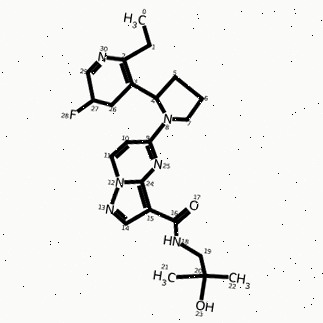 CCC1=C(C2CCCN2c2ccn3ncc(C(=O)NCC(C)(C)O)c3n2)CC(F)C=N1